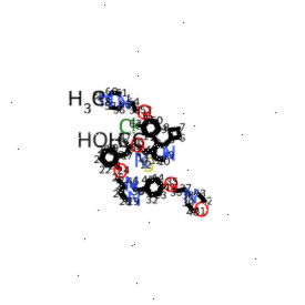 Cc1c(-c2c(C3CCC3)ncc3snc(OC(Cc4ccccc4OCc4ccnc(-c5ccc(OCCN6CCOCC6)cc5)n4)C(=O)O)c23)ccc(OCCN2CCN(C)CC2)c1Cl